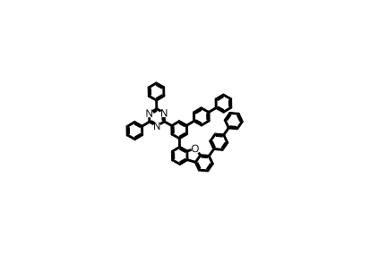 c1ccc(-c2ccc(-c3cc(-c4nc(-c5ccccc5)nc(-c5ccccc5)n4)cc(-c4cccc5c4oc4c(-c6ccc(-c7ccccc7)cc6)cccc45)c3)cc2)cc1